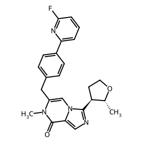 C[C@H]1OCC[C@@H]1c1ncc2c(=O)n(C)c(Cc3ccc(-c4cccc(F)n4)cc3)cn12